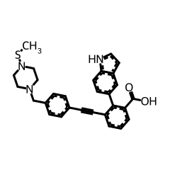 CSN1CCN(Cc2ccc(C#Cc3cccc(C(=O)O)c3-c3ccc4[nH]ccc4c3)cc2)CC1